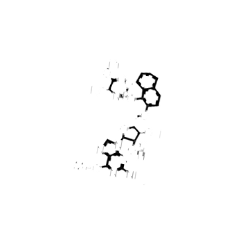 COc1nc(N)nc2c1ncn2C1O[C@H](COc2ccc3ccccc3c2O/[P+]([O-])=N/[C@@H](C)C(=O)OC(C)C)[C@@H](O)[C@@]1(C)O